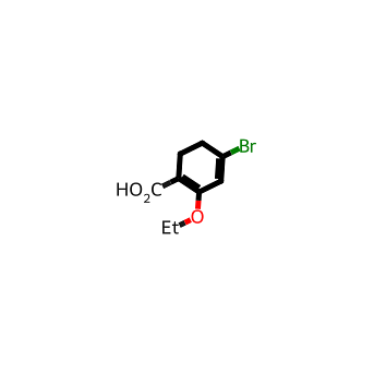 CCOC1=C(C(=O)O)CCC(Br)=C1